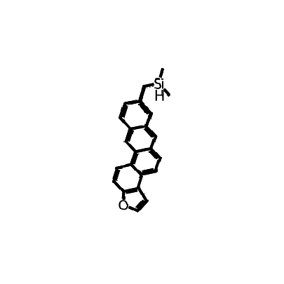 C[SiH](C)Cc1ccc2cc3c(ccc4c5ccoc5ccc34)cc2c1